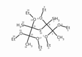 CCOC(C)(OCC)C([SiH3])(OCC)SC([SiH3])(OCC)C(C)(OCC)OCC